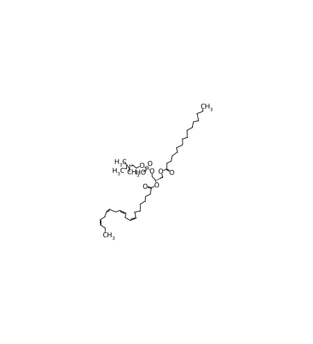 CC/C=C\C/C=C\C/C=C\C/C=C\CCCCCCC(=O)O[C@H](COC(=O)CCCCCCCCCCCCCCC)COP(=O)(O)OCC[N+](C)(C)C